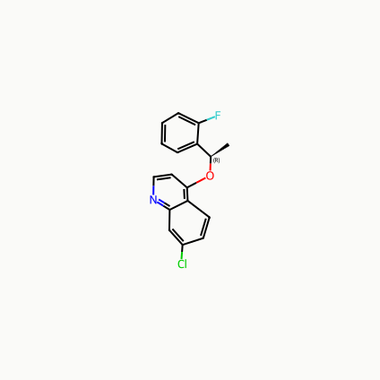 C[C@@H](Oc1ccnc2cc(Cl)ccc12)c1ccccc1F